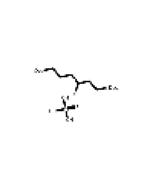 CCCCCCCCCCCCC[CH]([K])CCCCCCCCCCCC.O=P(O)(O)O